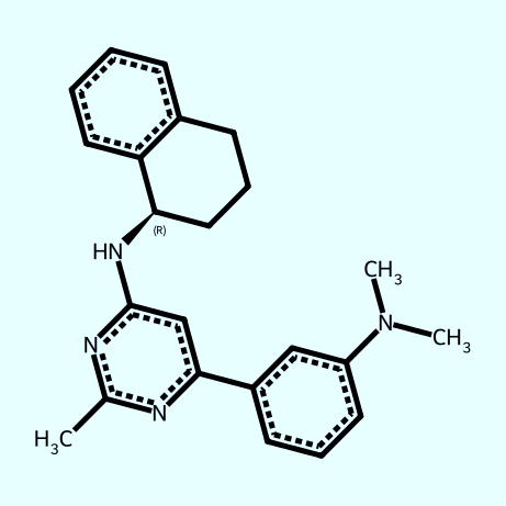 Cc1nc(N[C@@H]2CCCc3ccccc32)cc(-c2cccc(N(C)C)c2)n1